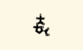 CC1(OC(=O)C(F)(F)F)CC[C@@H](C(=O)O)N1